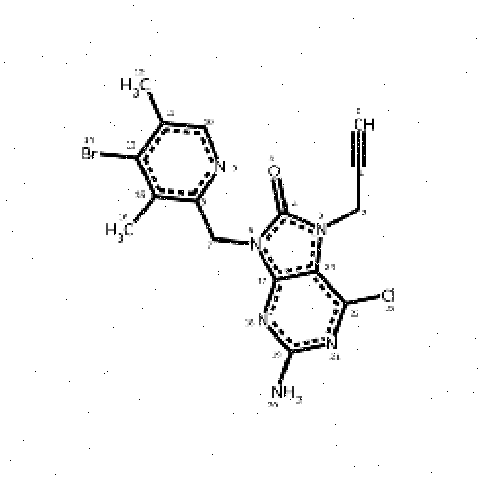 C#CCn1c(=O)n(Cc2ncc(C)c(Br)c2C)c2nc(N)nc(Cl)c21